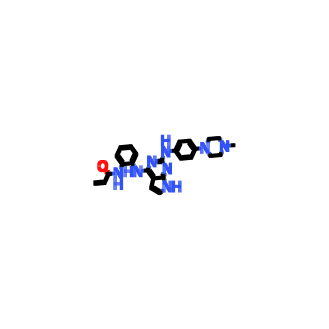 C=CC(=O)Nc1ccccc1Nc1nc(Nc2ccc(N3CCN(C)CC3)cc2)nc2[nH]ccc12